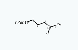 CCCCCCCCB(C)C(C)C